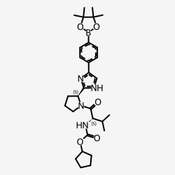 CC(C)[C@H](NC(=O)OC1CCCC1)C(=O)N1CCC[C@H]1c1nc(-c2ccc(B3OC(C)(C)C(C)(C)O3)cc2)c[nH]1